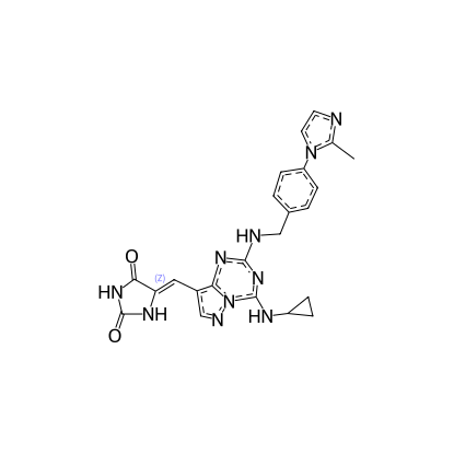 Cc1nccn1-c1ccc(CNc2nc(NC3CC3)n3ncc(/C=C4\NC(=O)NC4=O)c3n2)cc1